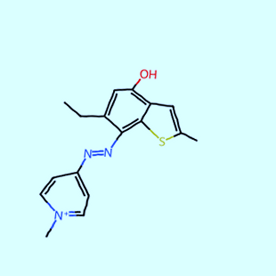 CCc1cc(O)c2cc(C)sc2c1/N=N/c1cc[n+](C)cc1